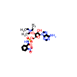 CCN(CC)CC.Nc1ncnc2c1ncn2[C@@H]1O[C@H](COS(=O)(=O)NC(=O)c2ccccc2[N+](=O)[O-])[C@@H](O)[C@H]1O